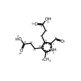 Cc1[nH]c(C=O)c(CCC(=O)O)c1CCC(=O)O